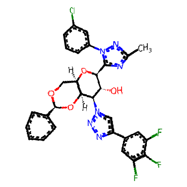 Cc1nc([C@@H]2O[C@@H]3CO[C@H](c4ccccc4)O[C@@H]3[C@H](n3cc(-c4cc(F)c(F)c(F)c4)nn3)[C@H]2O)n(-c2cccc(Cl)c2)n1